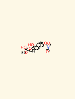 CCO[C@@H](C1C[C@@H](C)[C@H]2C(O1)[C@H](O)[C@@]1(C)C3CC[C@H]4C(C)(C)C(O[C@H]5CN(C6CCOC6)CCO5)CC[C@@]45C[C@@]35CC[C@]21C)C(C)(C)O